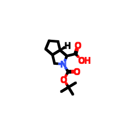 CC(C)(C)OC(=O)N1CC2CCC[C@@H]2C1C(=O)O